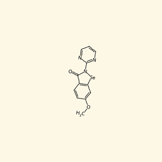 COc1ccc2c(=O)n(-c3ncccn3)[se]c2c1